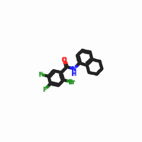 O=C(Nc1cccc2c1CCCC2)c1cc(F)c(F)cc1Br